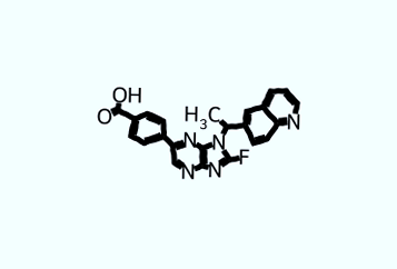 CC(c1ccc2ncccc2c1)n1c(F)nc2ncc(-c3ccc(C(=O)O)cc3)nc21